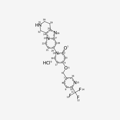 Cl.O=c1cc(OCc2ccc(C(F)(F)F)nc2)ccn1-c1ccn2c3c(nc2c1)CCNC3